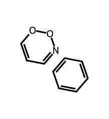 C1=COON=C1.c1ccccc1